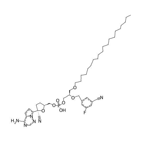 CCCCCCCCCCCCCCCCCCCCOC[C@H](COP(=O)(O)OC[C@@H]1CC[C@](C#N)(c2ccc3c(N)ncnn23)O1)OCc1cc(F)cc(C#N)c1